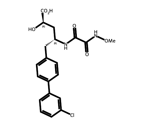 CONC(=O)C(=O)N[C@H](Cc1ccc(-c2cccc(Cl)c2)cc1)C[C@@H](O)C(=O)O